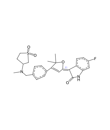 CN(Cc1ccc(C2=C/C(=C3\C(=O)Nc4cc(F)ccc43)OC2(C)C)cc1)C1CCS(=O)(=O)C1